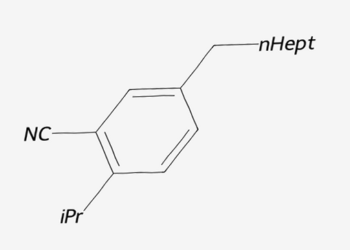 CCCCCCCCc1ccc(C(C)C)c(C#N)c1